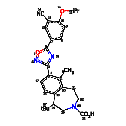 Cc1c(-c2noc(-c3ccc(OC(C)C)c(C#N)c3)n2)ccc2c1CCN(C(=O)O)CC2C(C)(C)C